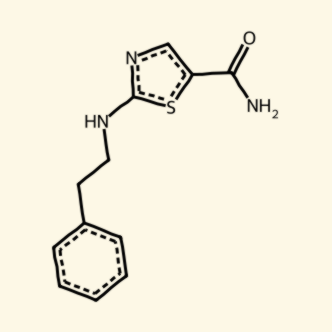 NC(=O)c1cnc(NCCc2ccccc2)s1